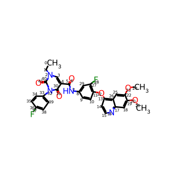 CCn1cc(C(=O)Nc2ccc(Oc3ccnc4cc(OC)c(OC)cc34)c(F)c2)c(=O)n(-c2ccc(F)cc2)c1=O